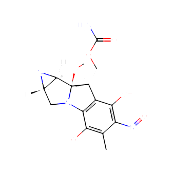 CO[C@@]12[C@H](COC(N)=O)c3c(O)c(N=O)c(C)c(O)c3N1C[C@@H]1N[C@H]12